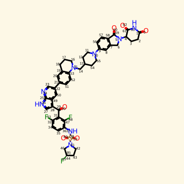 O=C1CCC(N2Cc3cc(N4CCC(CN5CCCc6cc(-c7cnc8[nH]cc(C(=O)c9c(F)ccc(NS(=O)(=O)N%10CC[C@@H](F)C%10)c9F)c8c7)ccc65)CC4)ccc3C2=O)C(=O)N1